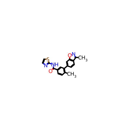 Cc1ccc(C(=O)Nc2nccs2)cc1-c1ccc2c(C)noc2c1